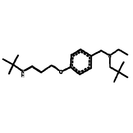 CCN(Cc1ccc(OCCCNC(C)(C)C)cc1)CC(C)(C)C